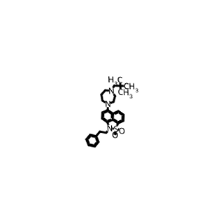 CC(C)(C)CN1CCCN(c2ccc3c4c(cccc24)S(=O)(=O)N3CCc2ccccc2)CC1